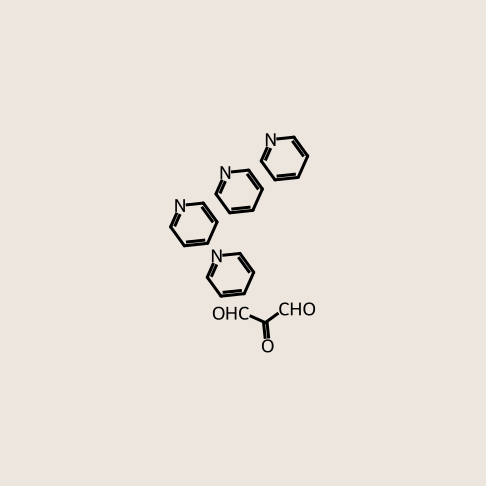 O=CC(=O)C=O.c1ccncc1.c1ccncc1.c1ccncc1.c1ccncc1